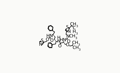 CC(C)COC[C@H](NC(=O)N(C)Cc1csc(C(C)C)n1)C(=O)N[C@H](CC[C@H](Cc1ccccc1)NC(=O)OCc1cncs1)Cc1ccccc1